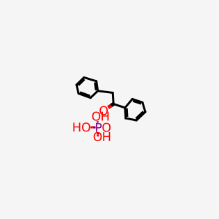 O=C(Cc1ccccc1)c1ccccc1.O=P(O)(O)O